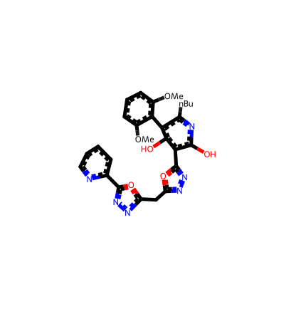 CCCCc1nc(O)c(-c2nnc(Cc3nnc(-c4ccccn4)o3)o2)c(O)c1-c1c(OC)cccc1OC